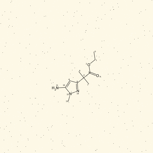 CCOC(=O)C(C)(C)c1cc(N)n(C)n1